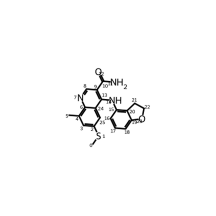 CSc1cc(C)c2ncc(C(N)=O)c(Nc3cccc4c3CCO4)c2c1